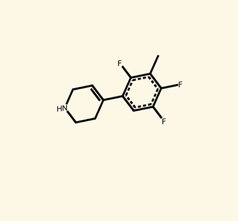 Cc1c(F)c(F)cc(C2=CCNCC2)c1F